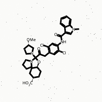 CO[C@H]1CCN(C(O[C@H]2CC[C@H](C(=O)O)CC2)(C(=O)Cc2cc(Cl)c(NC(=O)c3cn(C)c4ccccc34)cc2Cl)N2CCCC2)C1